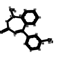 CN1CC(=O)N=C(c2cccc(C(F)(F)F)c2)c2ccccc21